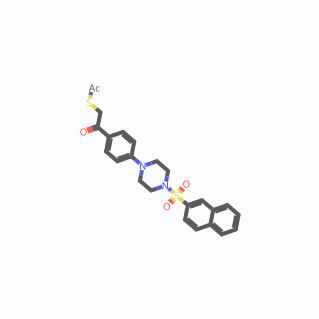 CC(=O)SCC(=O)c1ccc(N2CCN(S(=O)(=O)c3ccc4ccccc4c3)CC2)cc1